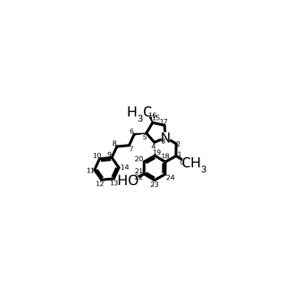 CC(CN1C[C@@H](CCCc2ccccc2)[C@@H](C)C1)c1ccc(O)cc1